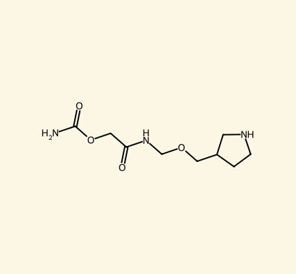 NC(=O)OCC(=O)NCOCC1CCNC1